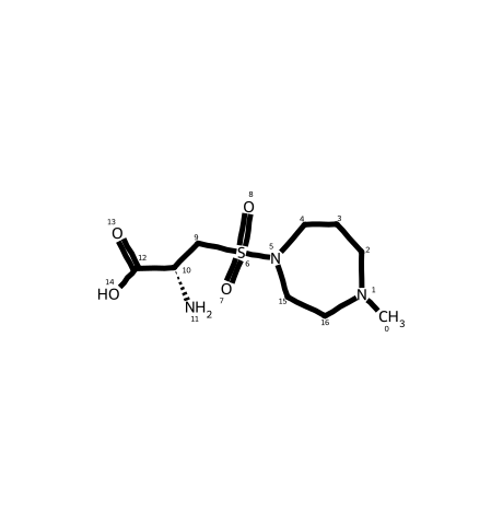 CN1CCCN(S(=O)(=O)C[C@H](N)C(=O)O)CC1